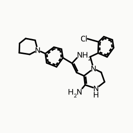 NC1=C(/C=C(\N)c2ccc(N3CCCCC3)cc2)N(Cc2ccccc2Cl)CCN1